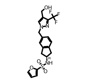 O=S(=O)(N[C@@H]1Cc2ccc(Cn3cc(CO)c(C(F)(F)F)n3)cc2C1)c1ccco1